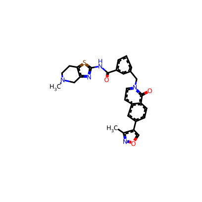 Cc1nocc1-c1ccc2c(=O)n(Cc3cccc(C(=O)Nc4nc5c(s4)CCN(C)C5)c3)ccc2c1